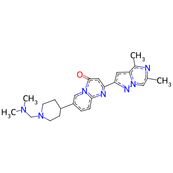 Cc1cn2nc(-c3cc(=O)n4cc(C5CCN(CN(C)C)CC5)ccc4n3)cc2c(C)n1